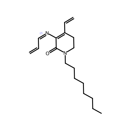 C=C/C=N\C1=C(C=C)CCN(CCCCCCCC)C1=O